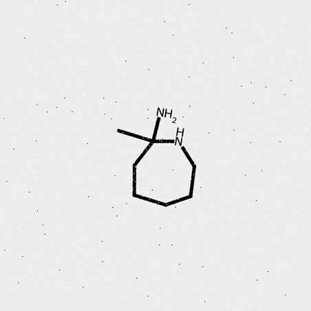 CC1(N)CCCCCN1